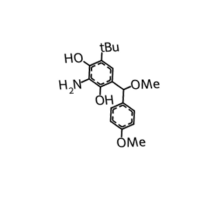 COc1ccc(C(OC)c2cc(C(C)(C)C)c(O)c(N)c2O)cc1